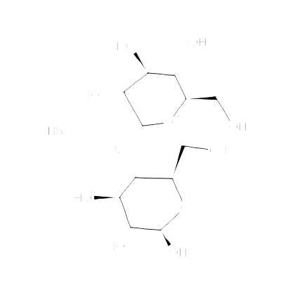 Br.OC[C@H]1O[C@H](O[C@H]2[C@H](O)[C@@H](O)[C@H](O)O[C@@H]2CO)[C@H](O)[C@@H](O)[C@@H]1O